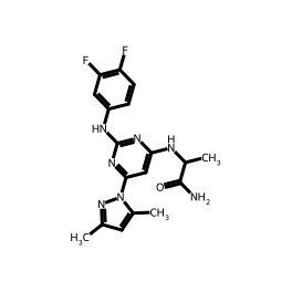 Cc1cc(C)n(-c2cc(NC(C)C(N)=O)nc(Nc3ccc(F)c(F)c3)n2)n1